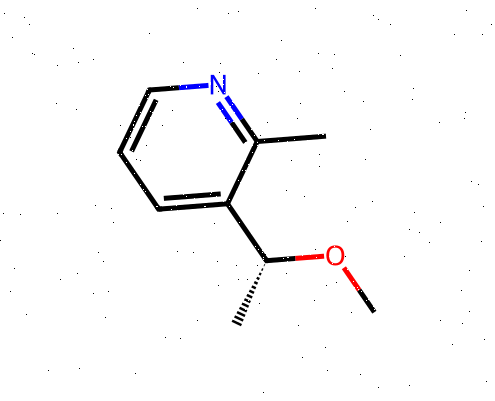 CO[C@H](C)c1cccnc1C